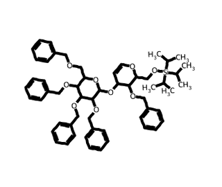 CC(C)[Si](OCC1OC=CC(OC2OC(COCc3ccccc3)C(OCc3ccccc3)C(OCc3ccccc3)C2OCc2ccccc2)C1OCc1ccccc1)(C(C)C)C(C)C